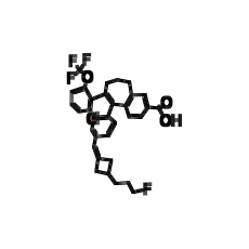 O=C(O)c1ccc2c(c1)CCCC(c1c(Cl)cccc1OC(F)(F)F)=C2c1ccc(C=C2CC(CCCF)C2)cc1